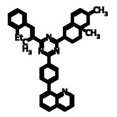 CCc1ccccc1/C=C(\C)c1nc(-c2ccc(-c3cccc4cccnc34)cc2)nc(C2C=C3C=CC(C)C[C@]3(C)CC2)n1